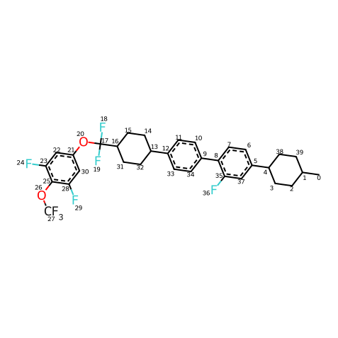 CC1CCC(c2ccc(-c3ccc(C4CCC(C(F)(F)Oc5cc(F)c(OC(F)(F)F)c(F)c5)CC4)cc3)c(F)c2)CC1